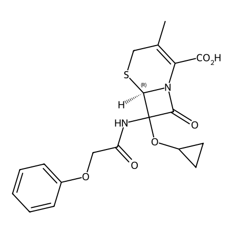 CC1=C(C(=O)O)N2C(=O)C(NC(=O)COc3ccccc3)(OC3CC3)[C@H]2SC1